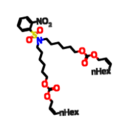 CCCCCC/C=C\COC(=O)OCCCCCCN(CCCCCCOC(=O)OC/C=C\CCCCCC)S(=O)(=O)c1ccccc1[N+](=O)[O-]